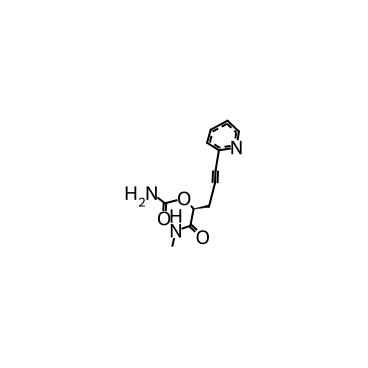 CNC(=O)[C@H](CC#Cc1ccccn1)OC(N)=O